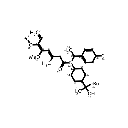 C=C/C(OC(C)C)=C(\C=C(/C)CC(=O)N(C1CCC(C(C)(O)CCCC)CC1)C(C)C1=CCC(Cl)C=C1)OC